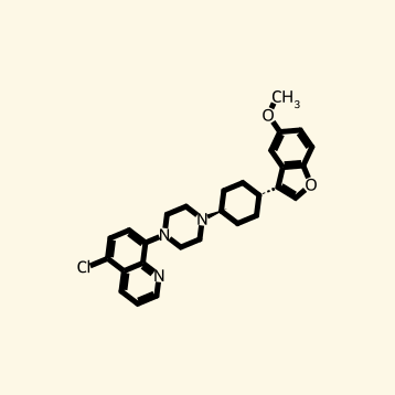 COc1ccc2occ([C@H]3CC[C@H](N4CCN(c5ccc(Cl)c6cccnc56)CC4)CC3)c2c1